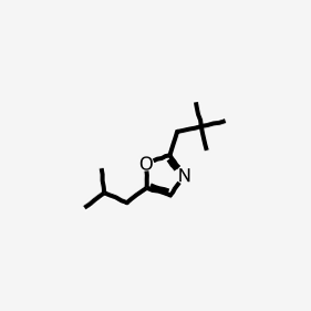 CC(C)Cc1cnc(CC(C)(C)C)o1